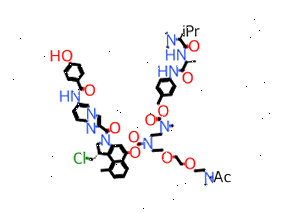 CC(=O)N(C)CCOCCOCCN(CCN(C)C(=O)OCc1ccc(NC(=O)[C@H](C)NC(=O)[C@H](C(C)C)N(C)C)cc1)C(=O)Oc1cc2c(c3c(C)cccc13)[C@H](CCl)CN2C(=O)c1cn2cc(NC(=O)c3ccc(O)cc3)ccc2n1